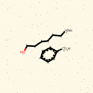 CCCCCCCCCCCCCCCCO.O=C(O)c1ccccc1